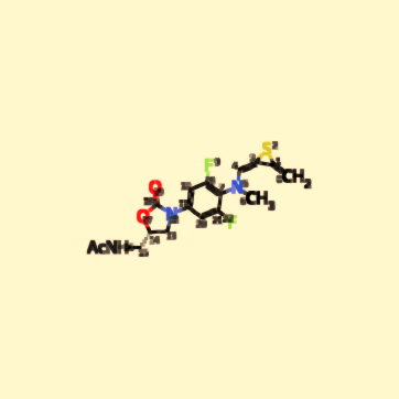 C=C1S/C1=C/N(C)c1c(F)cc(N2C[C@H](CNC(C)=O)OC2=O)cc1F